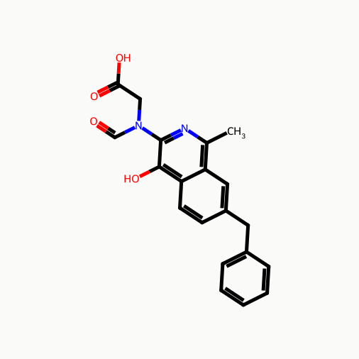 Cc1nc(N(C=O)CC(=O)O)c(O)c2ccc(Cc3ccccc3)cc12